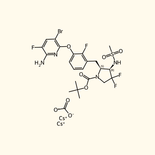 CC(C)(C)OC(=O)N1CC(F)(F)[C@H](NS(C)(=O)=O)[C@@H]1Cc1cccc(Oc2nc(N)c(F)cc2Br)c1F.O=C([O-])[O-].[Cs+].[Cs+]